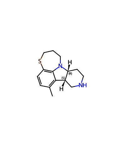 Cc1ccc2c3c1[C@H]1CNCC[C@H]1N3CCCS2